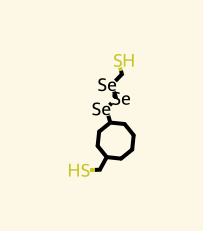 SC[Se][Se][Se]C1CCCCC(CS)CC1